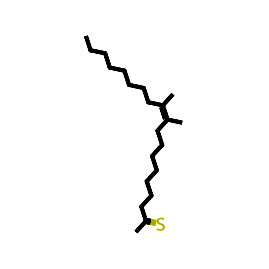 CCCCCCCC/C(C)=C(/C)CCCCCCCC(C)=S